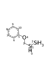 C[SiH]([SiH3])COc1ccccc1